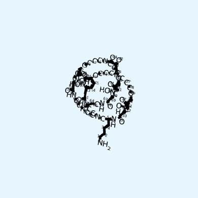 NCCCCC1CN2CCNC(=O)c3ccc(c(=O)n3O)OCCCN(CCCOc3ccc(n(O)c3=O)C(=O)N1)C(=O)C(=O)N1CCCOc3ccc(n(O)c3=O)C(=O)NCCN(CCNC(=O)c3ccc(c(=O)n3O)OCCC1)CC2